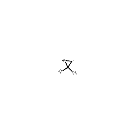 CC1(C)CP1